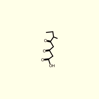 CCC(C)C(=O)CC(=O)CC(=O)O